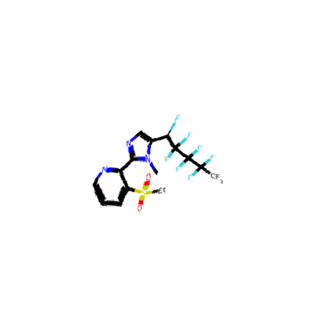 CCS(=O)(=O)c1cccnc1-c1ncc([C@@H](F)C(F)(F)C(F)(F)C(F)(F)C(F)(F)F)n1C